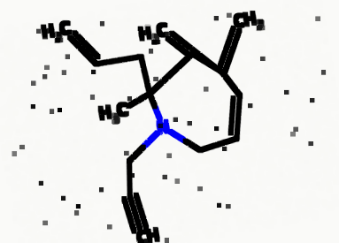 C#CCN1CC=CC(=C)C(=C)C1(C)CC=C